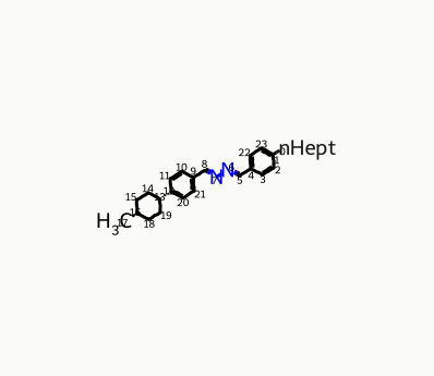 CCCCCCCc1ccc(C=NN=Cc2ccc([C@H]3CC[C@H](C)CC3)cc2)cc1